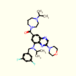 CC(C)N1CCCN(C(=O)c2cc(N(Cc3cc(F)cc(F)c3)C(C)C)c3nc(N4CCOCC4)cnc3c2)CC1